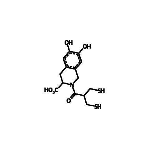 O=C(O)C1Cc2cc(O)c(O)cc2CN1C(=O)C(CS)CS